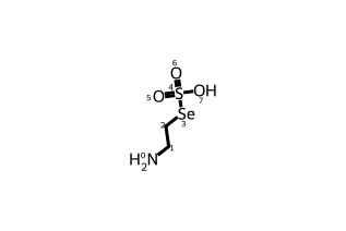 NCC[Se]S(=O)(=O)O